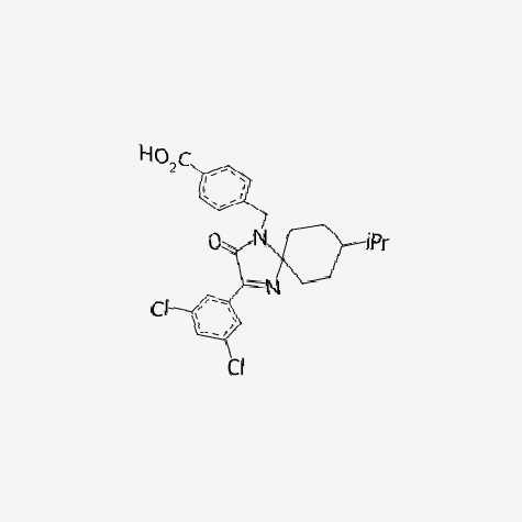 CC(C)C1CCC2(CC1)N=C(c1cc(Cl)cc(Cl)c1)C(=O)N2Cc1ccc(C(=O)O)cc1